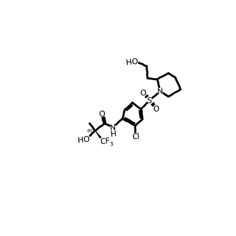 C[C@@](O)(C(=O)Nc1ccc(S(=O)(=O)N2CCCCC2CCO)cc1Cl)C(F)(F)F